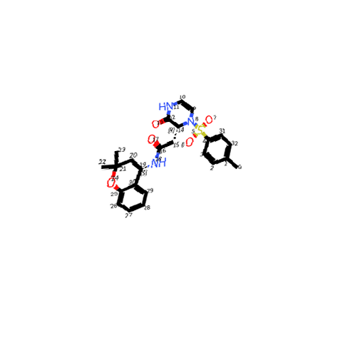 Cc1ccc(S(=O)(=O)N2C=CNC(=O)[C@H]2CC(=O)N[C@H]2CC(C)(C)Oc3ccccc32)cc1